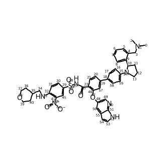 CN(C)Cc1ccccc1[C@H]1CCCN1c1ccc(-c2ccc(C(=O)NS(=O)(=O)c3ccc(NCC4CCOCC4)c([N+](=O)[O-])c3)c(Oc3cnc4[nH]ccc4c3)c2)cc1